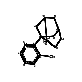 Clc1cccnc1C12CC3CC(CC(C3)N1)C2